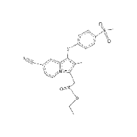 CCOC(=O)Cc1c(C)c(Sc2ccc(S(C)(=O)=O)cc2)c2cc(C#N)ccn12